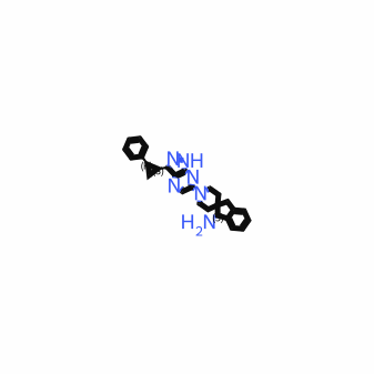 N[C@@H]1c2ccccc2CC12CCN(c1cnc3c([C@H]4C[C@H]4c4ccccc4)n[nH]c3n1)CC2